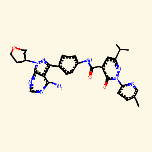 Cc1ccc(-n2nc(C(C)C)cc(C(=O)Nc3ccc(-c4nn(C5CCOC5)c5ncnc(N)c45)cc3)c2=O)nc1